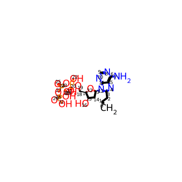 C=CCc1nc2c(N)ncnc2n1[C@H]1C[C@H](O)[C@@H](COP(=O)(O)OP(=O)(O)OP(=O)(O)O)O1